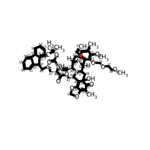 C=CCN1[C@H]2c3c(cc(C)c(OC)c3OCOCCOC)C[C@H]1[C@H](C#N)N1C2CC2(O)C(=O)C(C)=C3OCOC3=C2[C@@H]1COC(=O)[C@H](CSCC1c2ccccc2-c2ccccc21)NC(=O)OC(C)(C)C